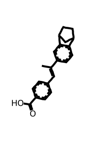 C/C(=C\c1ccc(C(=O)O)cc1)c1ccc2c(c1)C1CCC2C1